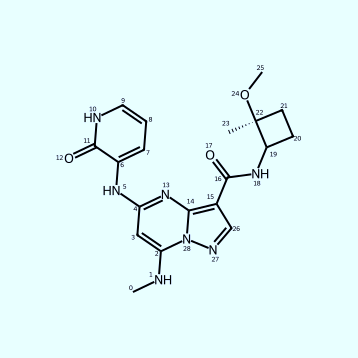 CNc1cc(Nc2ccc[nH]c2=O)nc2c(C(=O)NC3CC[C@]3(C)OC)cnn12